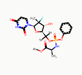 [2H]C([2H])(O[P@@](=O)(N[C@@H](C)C(=O)OC(C)C)Oc1ccccc1)[C@H]1O[C@@H](n2ccc(=O)[nH]c2=O)[C@](C)(F)[C@@H]1O